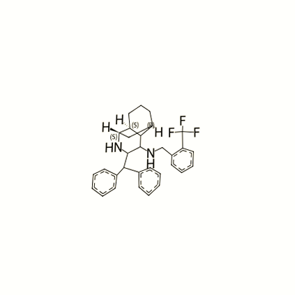 FC(F)(F)c1ccccc1CNC1C(C(c2ccccc2)c2ccccc2)N[C@H]2C[C@H]3CCC[C@H]2C13